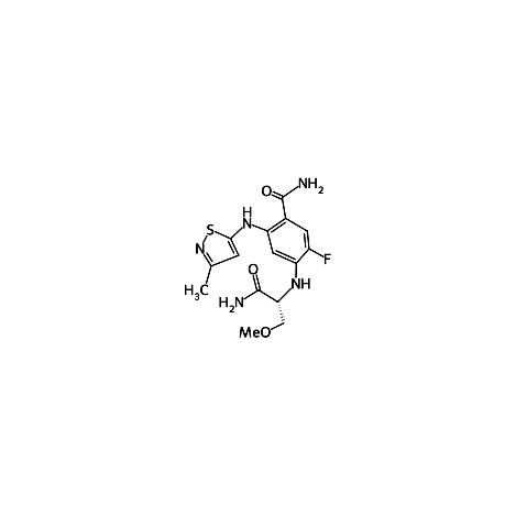 COC[C@@H](Nc1cc(Nc2cc(C)ns2)c(C(N)=O)cc1F)C(N)=O